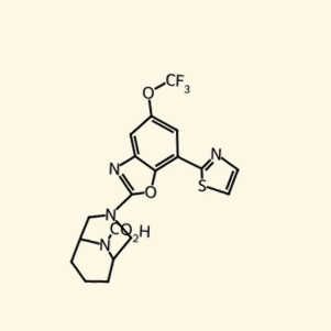 O=C(O)N1C2CCCC1CN(c1nc3cc(OC(F)(F)F)cc(-c4nccs4)c3o1)C2